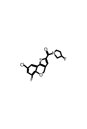 O=C(c1cc2c(s1)-c1cc(Cl)cc(F)c1OC2)N1CCC(F)C1